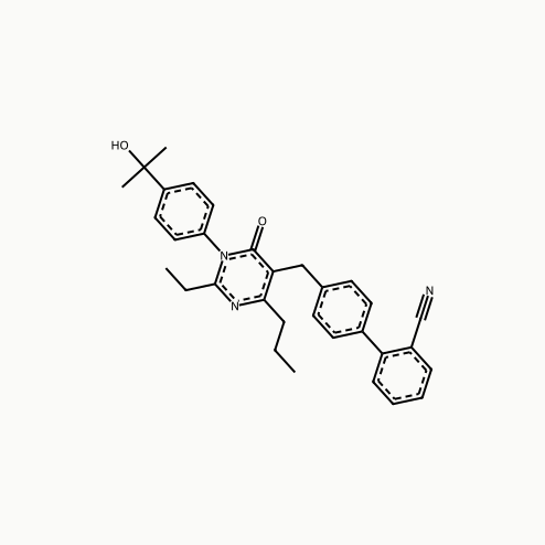 CCCc1nc(CC)n(-c2ccc(C(C)(C)O)cc2)c(=O)c1Cc1ccc(-c2ccccc2C#N)cc1